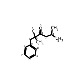 CC(C)CC(=O)C(C)(C)Cc1ccccc1